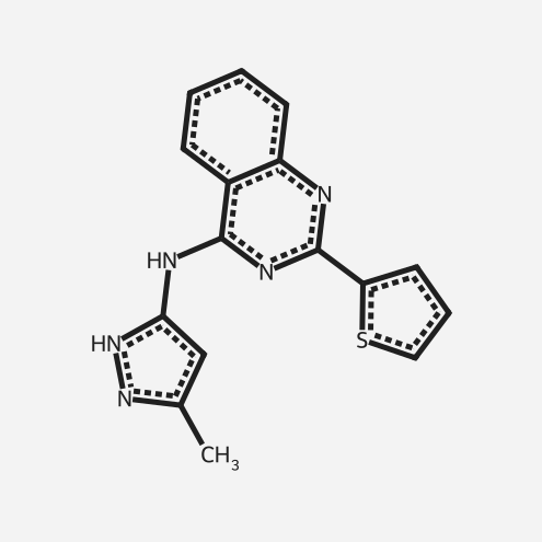 Cc1cc(Nc2nc(-c3cccs3)nc3ccccc23)[nH]n1